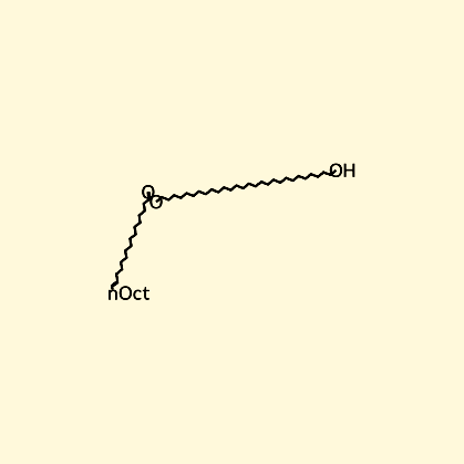 CCCCCCCCC=CCCCCCCCCCCCCCC(=O)OCCCCCCCCCCCCCCCCCCCCCCCCCCCCO